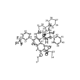 CCOc1cc2nc(-c3cccc(C(F)(F)F)c3)c(CN3CCC(N4CCCCC4)CC3)c(C(=O)N[C@H](c3ccccc3)C(F)(F)F)c2cc1S(=O)(=O)CC